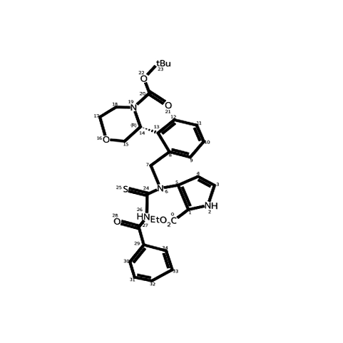 CCOC(=O)c1[nH]ccc1N(Cc1ccccc1[C@@H]1COCCN1C(=O)OC(C)(C)C)C(=S)NC(=O)c1ccccc1